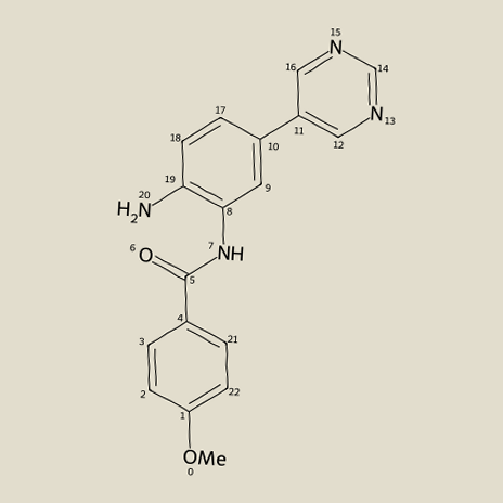 COc1ccc(C(=O)Nc2cc(-c3cncnc3)ccc2N)cc1